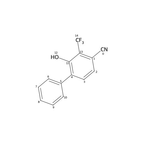 N#Cc1ccc(-c2ccccc2)c(O)c1C(F)(F)F